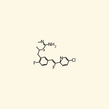 C/N=C(/N)SC(C)Cc1cc(/C=C(\F)c2ccc(Cl)cn2)ccc1F